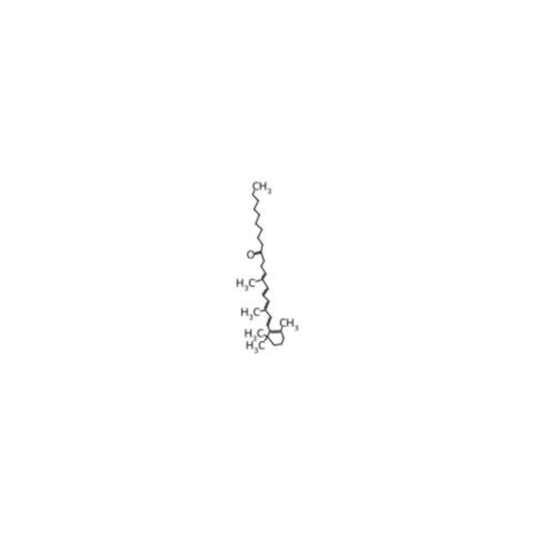 CCCCCCCCCC(=O)CC/C=C(C)/C=C/C=C(C)/C=C/C1=C(C)CCCC1(C)C